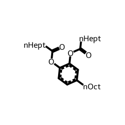 CCCCCCCCc1ccc(OC(=O)CCCCCCC)c(OC(=O)CCCCCCC)c1